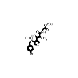 C/C(C(=O)NCC(=O)OC(C)(C)C)=C(/O)C1=C(N(C=O)Cc2ccc(Br)cc2)COC1